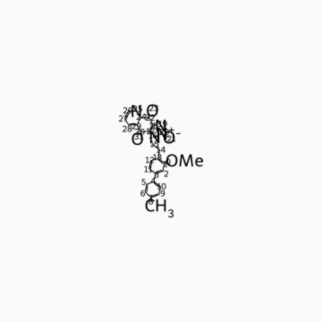 COc1cc(-c2ccc(C)cc2)ccc1CCn1c2c(n[n+]1[O-])C(=O)c1ncccc1C2=O